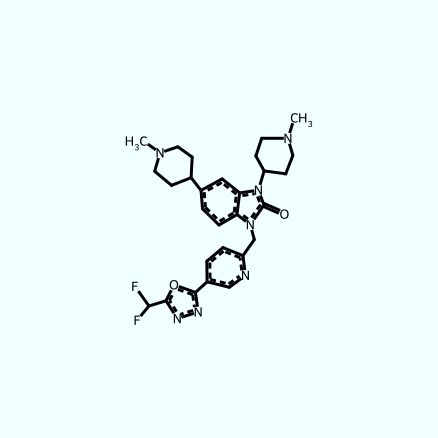 CN1CCC(c2ccc3c(c2)n(C2CCN(C)CC2)c(=O)n3Cc2ccc(-c3nnc(C(F)F)o3)cn2)CC1